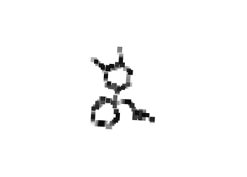 Cc1ccc(C2(CN)C=CC=CC2)cc1C